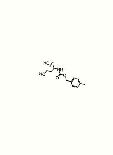 Cc1ccc(COC(=O)NC(CCO)C(=O)O)cc1